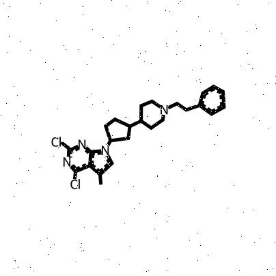 Cc1cn(C2CCC(C3CCN(CCc4ccccc4)CC3)C2)c2nc(Cl)nc(Cl)c12